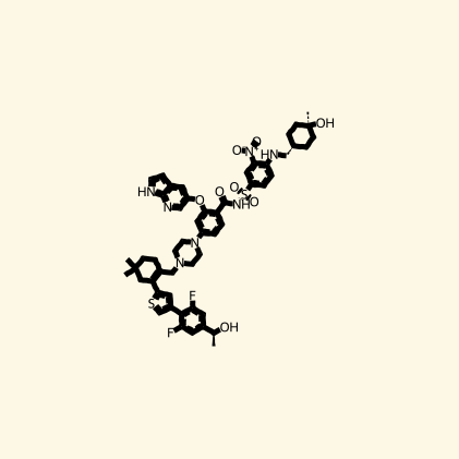 C[C@H](O)c1cc(F)c(-c2csc(C3=C(CN4CCN(c5ccc(C(=O)NS(=O)(=O)c6ccc(NC[C@H]7CC[C@](C)(O)CC7)c([N+](=O)[O-])c6)c(Oc6cnc7[nH]ccc7c6)c5)CC4)CCC(C)(C)C3)c2)c(F)c1